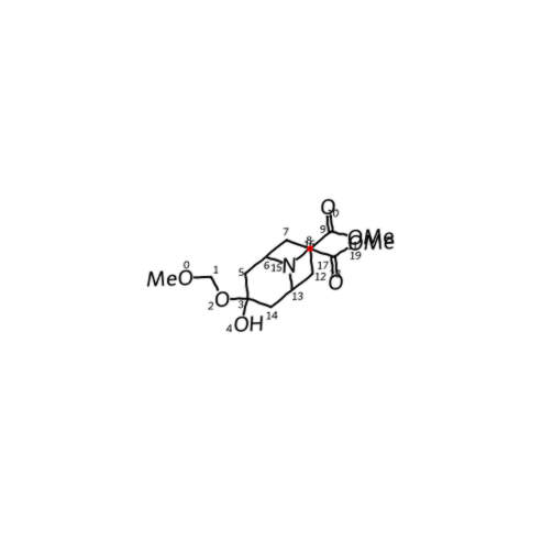 COCOC1(O)CC2CC(C(=O)OC)CC(C1)N2CC(=O)OC